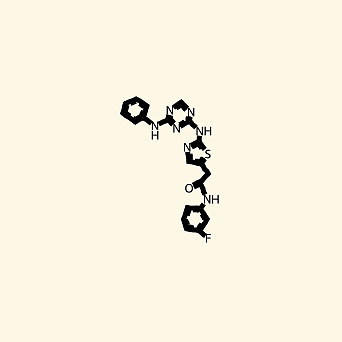 O=C(Cc1cnc(Nc2ncnc(Nc3ccccc3)n2)s1)Nc1cccc(F)c1